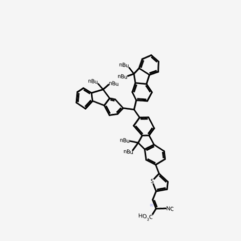 [C-]#[N+]/C(=C\c1ccc(-c2ccc3c(c2)C(CCCC)(CCCC)c2cc(C(c4ccc5c(c4)C(CCCC)(CCCC)c4ccccc4-5)c4ccc5c(c4)C(CCCC)(CCCC)c4ccccc4-5)ccc2-3)s1)C(=O)O